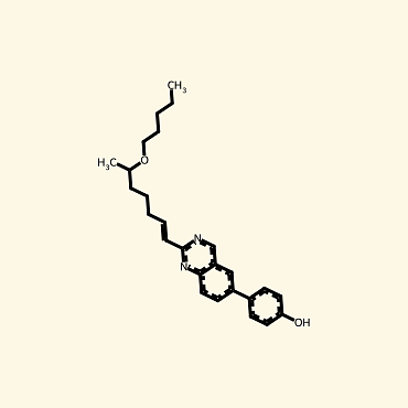 CCCCCOC(C)CCC/C=C/c1ncc2cc(-c3ccc(O)cc3)ccc2n1